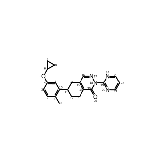 Cc1ccc(OC2CC2)cc1C1CCc2c(cnn(-c3ncccn3)c2=O)C1